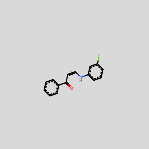 O=C(/C=C\Nc1cccc(F)c1)c1ccccc1